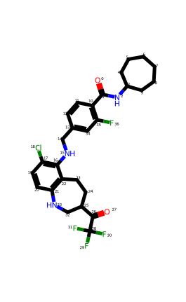 O=C(NC1CCCCCC1)c1ccc(CNc2c(Cl)ccc3c2CCC(C(=O)C(F)(F)F)CN3)cc1F